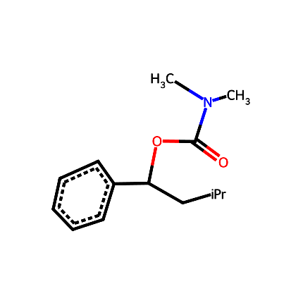 CC(C)CC(OC(=O)N(C)C)c1ccccc1